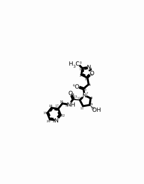 Cc1cc(CC(=O)N2C[C@H](O)C[C@H]2C(=O)NCc2cccnc2)on1